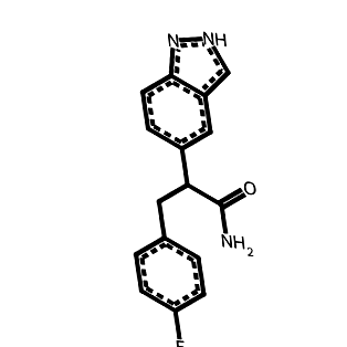 NC(=O)C(Cc1ccc(F)cc1)c1ccc2n[nH]cc2c1